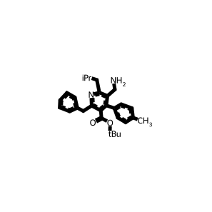 Cc1ccc(-c2c(CN)c(CC(C)C)nc(Cc3ccccc3)c2C(=O)OC(C)(C)C)cc1